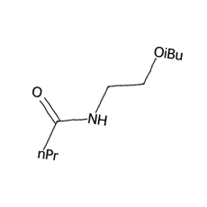 CCCC(=O)NCCOCC(C)C